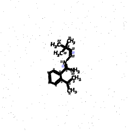 CC(C)c1ccccc1/C(N)=N/C=C\C(C)(C)C